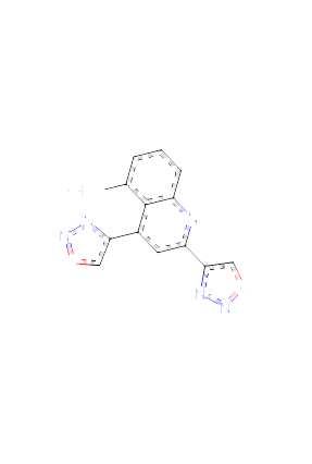 O=Cc1cccc2nc(-c3conn3)cc(-c3conn3)c12